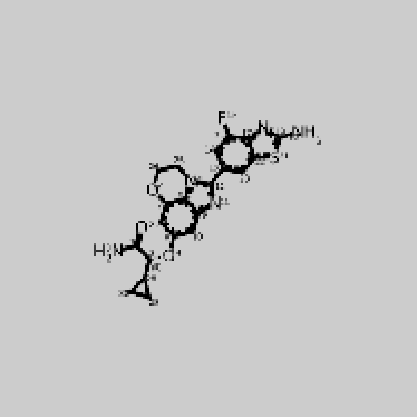 NC(=O)[C@H](Oc1cc2c3c(c1)nc(-c1cc(F)c4nc(N)sc4c1)n3CCO2)C1CC1